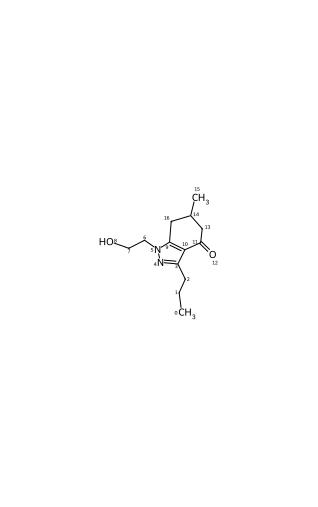 CCCc1nn(CCO)c2c1C(=O)CC(C)C2